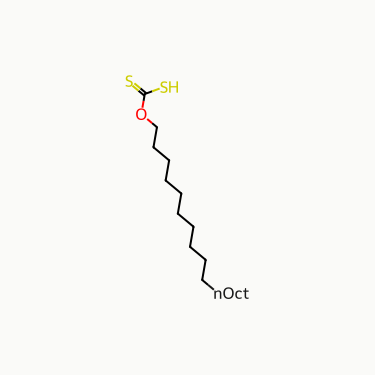 CCCCCCCCCCCCCCCCCCOC(=S)S